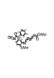 COC(=O)N=C=O.CSc1ccccc1N=C=O.O=C=NC(=O)Oc1ccccc1